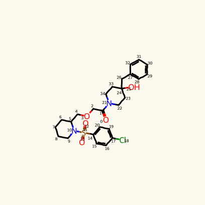 O=C(COCC1CCCCN1S(=O)(=O)c1ccc(Cl)cc1)N1CCC(O)(Cc2ccccc2)CC1